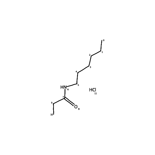 CCCCCCNC(=O)CC.Cl